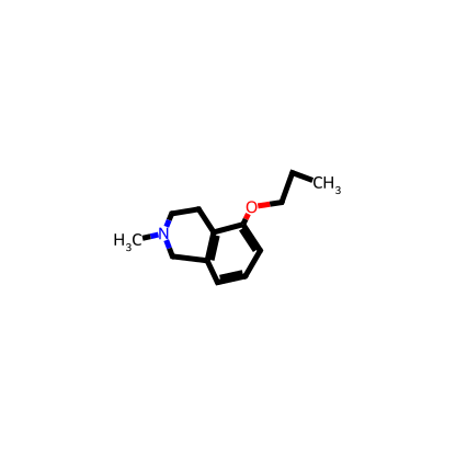 CCCOc1cccc2c1CCN(C)C2